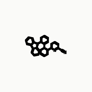 N#Cc1cccc(C2=CC=CCC2c2ccccc2-n2c3ccccc3c3ccccc32)n1